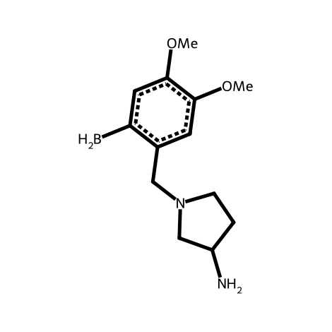 Bc1cc(OC)c(OC)cc1CN1CCC(N)C1